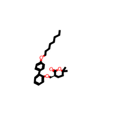 CCCCCCCCOc1ccc(-c2ccccc2OC[C@@H]2CCC(C)(C)OC2=O)cc1